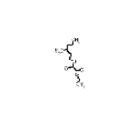 CCCC(C)=CCOC(=O)C(=O)OCC